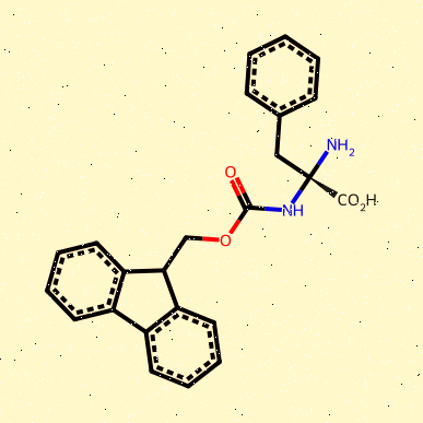 N[C@@](Cc1ccccc1)(NC(=O)OCC1c2ccccc2-c2ccccc21)C(=O)O